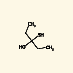 CCC(O)(S)CC